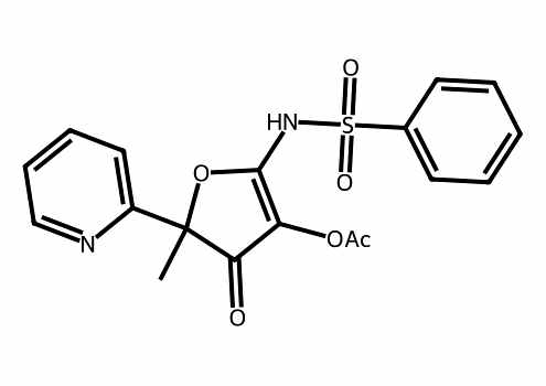 CC(=O)OC1=C(NS(=O)(=O)c2ccccc2)OC(C)(c2ccccn2)C1=O